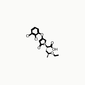 CCO[C@@H](C)C[C@@H](C(=O)O)N1CC(Oc2cccc(Cl)c2Cl)=CC1=O